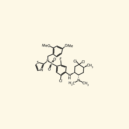 COc1ccc(CN(c2nccs2)S(=O)(=O)c2cc(Cl)c(N[C@H]3CC(Cl)(Cl)[C@@H](C)C[C@@H]3N(C)C)cc2F)c(OC)c1